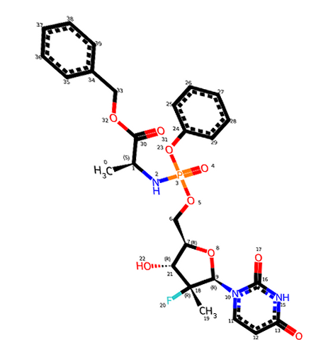 C[C@H](NP(=O)(OC[C@H]1O[C@@H](n2ccc(=O)[nH]c2=O)[C@](C)(F)[C@@H]1O)Oc1ccccc1)C(=O)OCc1ccccc1